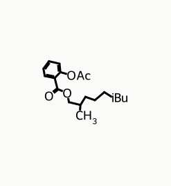 CCC(C)CCCC(C)COC(=O)c1ccccc1OC(C)=O